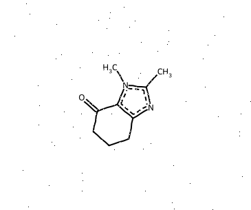 Cc1nc2c(n1C)C(=O)CCC2